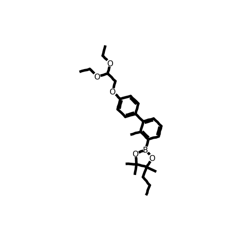 CCCC1(C)OB(c2cccc(-c3ccc(OCC(OCC)OCC)cc3)c2C)OC1(C)C